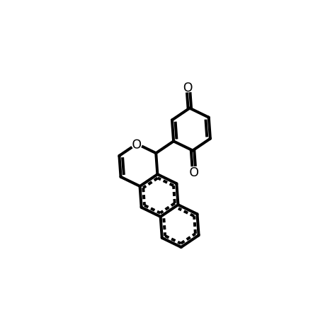 O=C1C=CC(=O)C(C2OC=Cc3cc4ccccc4cc32)=C1